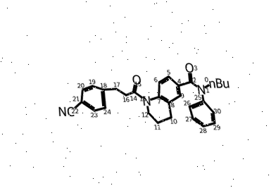 CCCCN(C(=O)c1ccc2c(c1)CCCN2C(=O)CCc1ccc(C#N)cc1)c1ccccc1